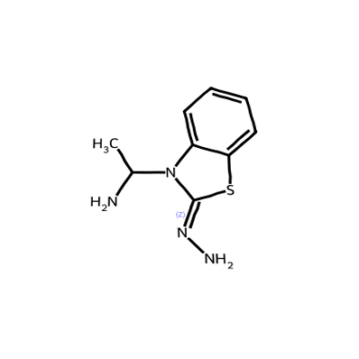 CC(N)n1/c(=N/N)sc2ccccc21